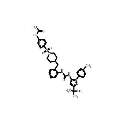 CC(=O)Nc1ccc(S(=O)(=O)N2CCC(Cc3ccccc3NC(=O)Nc3cc(C(C)(C)C)nn3-c3ccc(C)cc3)CC2)cc1